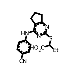 CCC(Sc1nc2c(c(Nc3ccc(C#N)cc3)n1)CCC2)C(=O)O